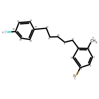 Cc1ccc(Br)cc1CCCCCc1ccc(F)cc1